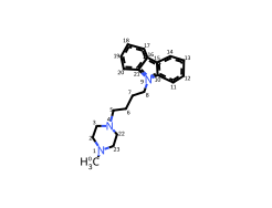 CN1CCN(CCCCn2c3ccccc3c3ccccc32)CC1